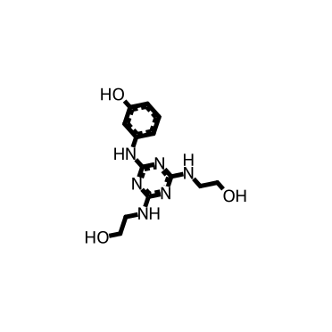 OCCNc1nc(NCCO)nc(Nc2cccc(O)c2)n1